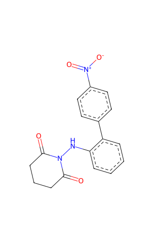 O=C1CCCC(=O)N1Nc1ccccc1-c1ccc([N+](=O)[O-])cc1